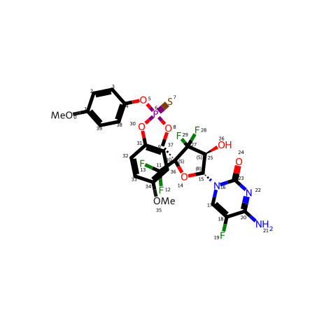 COc1ccc(OP(=S)(OC[C@@]2(C(F)F)O[C@@H](n3cc(F)c(N)nc3=O)[C@H](O)C2(F)F)Oc2ccc(OC)cc2)cc1